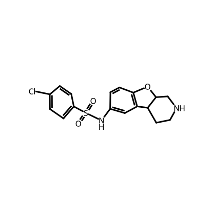 O=S(=O)(Nc1ccc2c(c1)C1CCNCC1O2)c1ccc(Cl)cc1